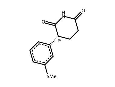 CSc1cccc([C@H]2CCC(=O)NC2=O)c1